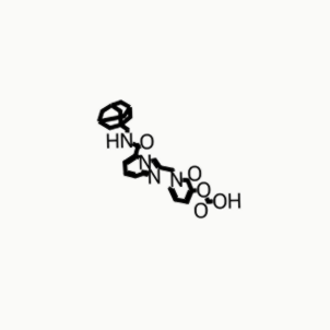 O=C(O)Oc1cccn(Cc2cn3c(C(=O)NCC45CC6CC(CC(C6)C4)C5)cccc3n2)c1=O